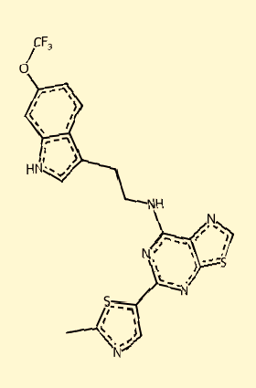 Cc1ncc(-c2nc(NCCc3c[nH]c4cc(OC(F)(F)F)ccc34)c3ncsc3n2)s1